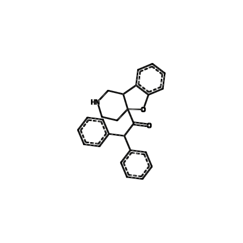 O=C(C(c1ccccc1)c1ccccc1)C12CCNCC1c1ccccc1O2